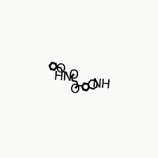 O=C(CCC(=O)c1ccc2c(c1)CCNCC2)NCCOc1ccccc1